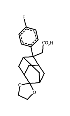 O=C(O)CC1(c2ccc(F)cc2)C2CC3CC1CC(C2)C31OCCO1